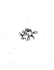 CCO.CCO.CCOC(=S)N(CC)CC.NC(O)=S